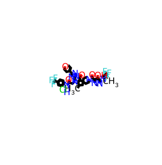 CC1CC2(CCN(C(=O)c3ncnc(N(C)CC(F)(F)F)c3O)CC2)c2c1n(CC(=O)Nc1ccc(C(F)(F)F)cc1Cl)c1nc(C3=CCOCC3)nn1c2=O